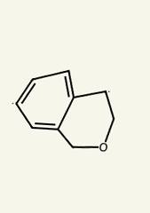 [c]1ccc2c(c1)COC[CH]2